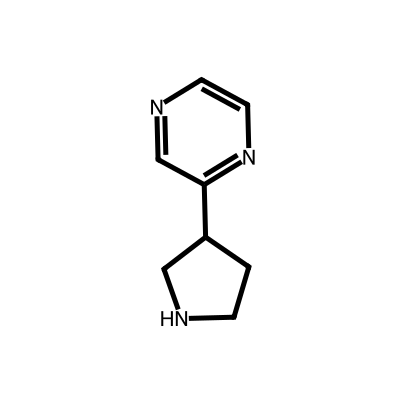 c1cnc(C2CCNC2)cn1